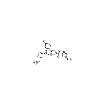 Cn1cnc(S(=O)(=O)N2C[C@@H](CNc3cccc(CN)c3)[C@H](c3ccc(F)cc3)C2)c1